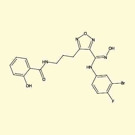 O=C(NCCCc1nonc1C(=NO)Nc1ccc(F)c(Br)c1)c1ccccc1O